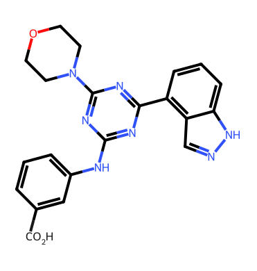 O=C(O)c1cccc(Nc2nc(-c3cccc4[nH]ncc34)nc(N3CCOCC3)n2)c1